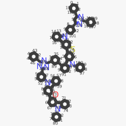 c1ccc(-c2cc(-c3ccc(-n4c5ccccc5c5cc6c(cc54)sc4cc5c(cc46)c4c(-c6cccc(-c7nc(-c8ccccc8)nc(-c8cccc(-n9c%10ccccc%10c%10c%11oc%12c(ccc%13c%12c%12ccccc%12n%13-c%12ccccc%12)c%11ccc%109)c8)n7)c6)cccc4n5-c4ccccc4)cc3)nc(-c3ccccc3)n2)cc1